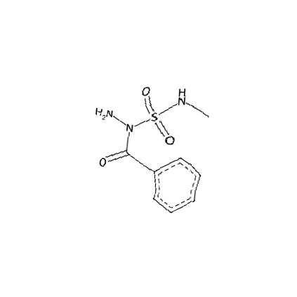 CNS(=O)(=O)N(N)C(=O)c1ccccc1